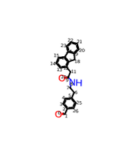 O=Cc1ccc(CCNC(=O)Cc2cccc3c2Cc2ccccc2-3)cc1